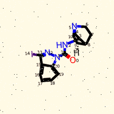 O=C(N[C@H]1CN2CCC1CC2)n1nc(I)c2ccccc21